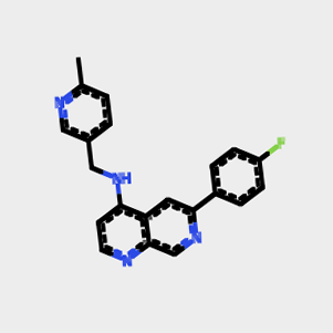 Cc1ccc(CNc2ccnc3cnc(-c4ccc(F)cc4)cc23)cn1